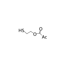 CC(=O)C(=O)OCCS